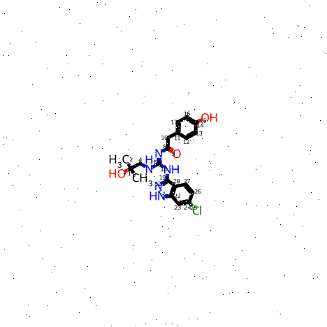 CC(C)(O)CN/C(=N/C(=O)Cc1ccc(O)cc1)Nc1n[nH]c2cc(Cl)ccc12